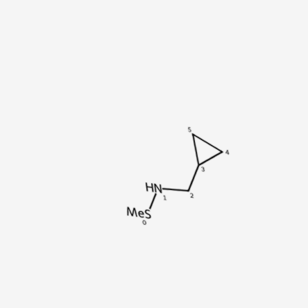 CSNCC1CC1